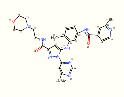 CNc1cc(-n2nc(C(=O)NCCN3CCOCC3)cc2Nc2cc(NC(=O)c3ccnc(C(C)(C)C)c3)ccc2C)ncn1